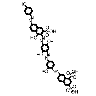 COc1cc(N=Nc2cc(OC)c(N=Nc3c(S(=O)(=O)O)cc4cc(N=Nc5ccc(O)cc5)ccc4c3O)cc2OC)ccc1N=Nc1ccc2cc(S(=O)(=O)O)cc(S(=O)(=O)O)c2c1